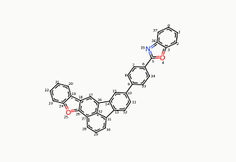 c1ccc2oc(-c3ccc(-c4ccc5c(c4)-c4cc6c7ccccc7oc6c6cccc-5c46)cc3)nc2c1